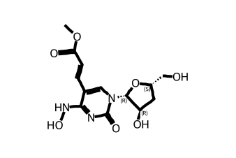 COC(=O)C=Cc1cn([C@@H]2O[C@H](CO)C[C@H]2O)c(=O)nc1NO